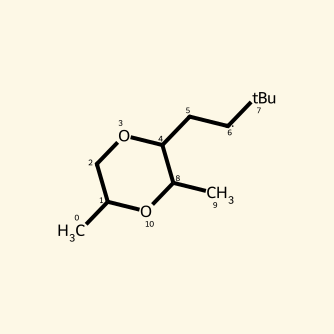 CC1COC(C[CH]C(C)(C)C)C(C)O1